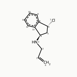 C=CCN[C@@H]1C[C@@H](Cl)c2ccccc21